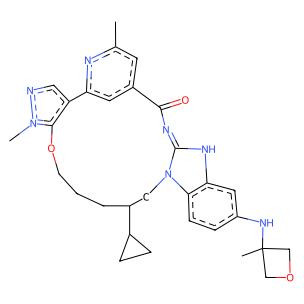 Cc1cc2cc(n1)-c1cnn(C)c1OCCCC(C1CC1)CN1/C(=N/C2=O)Nc2cc(NC3(C)COC3)ccc21